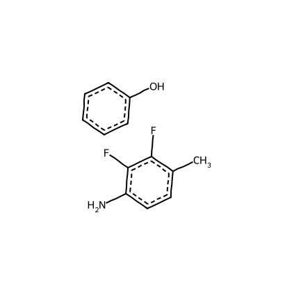 Cc1ccc(N)c(F)c1F.Oc1ccccc1